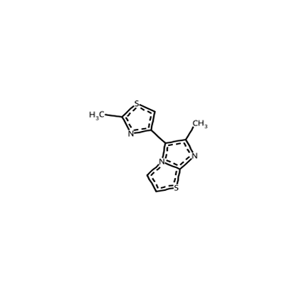 Cc1nc(-c2c(C)nc3sccn23)cs1